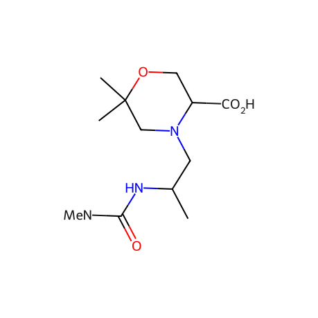 CNC(=O)NC(C)CN1CC(C)(C)OCC1C(=O)O